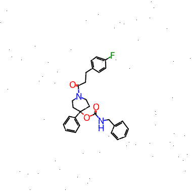 O=C(NCc1ccccc1)OC1(c2ccccc2)CCN(C(=O)CCc2ccc(F)cc2)CC1